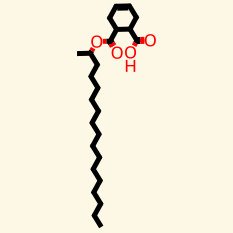 CCCCCCCCCCCCCCCC(C)OC(=O)C1CC=CCC1C(=O)O